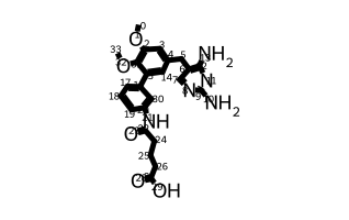 COc1cc(Cc2cnc(N)nc2N)cc(-c2cccc(NC(=O)CCCC(=O)O)c2)c1OC